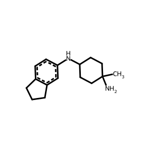 CC1(N)CCC(Nc2ccc3c(c2)CCC3)CC1